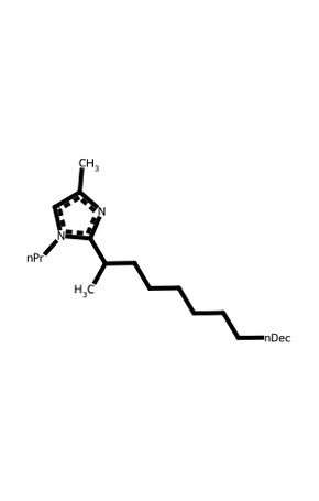 CCCCCCCCCCCCCCCCC(C)c1nc(C)cn1CCC